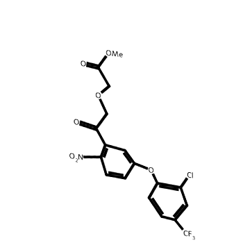 COC(=O)COCC(=O)c1cc(Oc2ccc(C(F)(F)F)cc2Cl)ccc1[N+](=O)[O-]